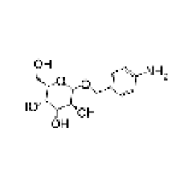 Nc1ccc(COC2O[C@H](CO)[C@@H](O)[C@H](O)[C@@H]2O)cc1